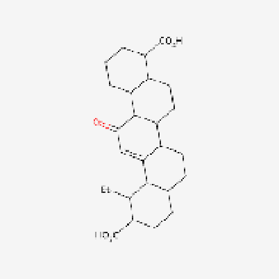 CCC1C(C(=O)O)CCC2CCC3C(=CC(=O)C4C3CCC3C(C(=O)O)CCCC34)C21